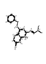 CN(C)C=Nc1nc(OCc2ccccc2)c2ncc(=O)nc-2[nH]1